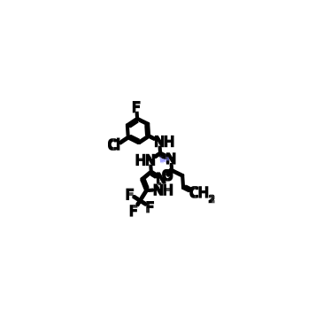 C=CCC(=O)/N=C(/Nc1cc(F)cc(Cl)c1)Nc1cc(C(F)(F)F)[nH]n1